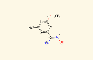 N#Cc1cc(OC(F)(F)F)cc(C(N)=NO)c1